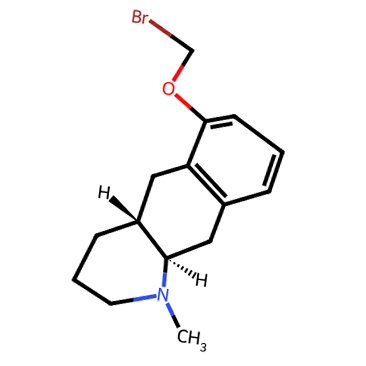 CN1CCC[C@@H]2Cc3c(cccc3OCBr)C[C@H]21